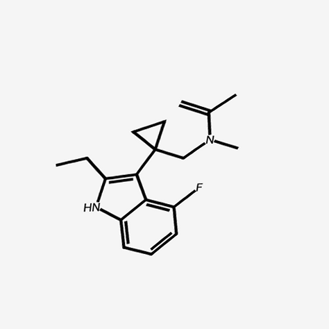 C=C(C)N(C)CC1(c2c(CC)[nH]c3cccc(F)c23)CC1